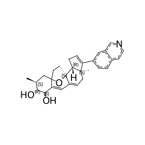 C[C@H]1CC23CC[C@@]4(O2)C(=CC[C@]2(C)C(c5ccc6ccncc6c5)=CC[C@H]24)C=C3[C@@H](O)[C@@H]1O